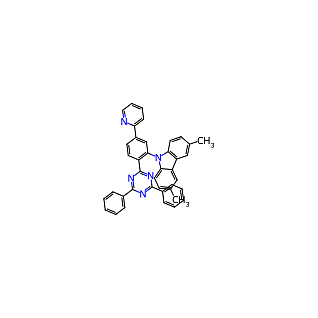 Cc1ccc2c(c1)c1cc(C)ccc1n2-c1cc(-c2ccccn2)ccc1-c1nc(-c2ccccc2)nc(-c2ccccc2)n1